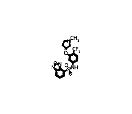 CN1CC[C@@H](Oc2cc(NS(=O)(=O)c3cccc4nonc34)ccc2C(F)(F)F)C1